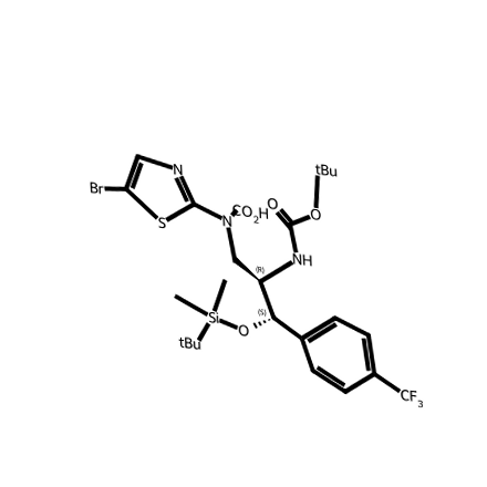 CC(C)(C)OC(=O)N[C@H](CN(C(=O)O)c1ncc(Br)s1)[C@@H](O[Si](C)(C)C(C)(C)C)c1ccc(C(F)(F)F)cc1